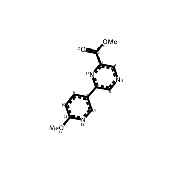 COC(=O)c1cncc(-c2ccc(OC)nc2)n1